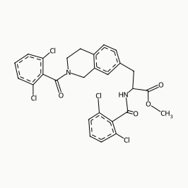 COC(=O)C(Cc1ccc2c(c1)CN(C(=O)c1c(Cl)cccc1Cl)CC2)NC(=O)c1c(Cl)cccc1Cl